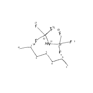 CCCCCCC.FC(F)(F)NC(F)(F)F